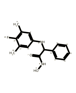 Cc1cc(NC(C(=O)NO)c2ccccc2)cc(C)c1F